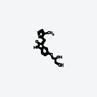 Cc1ccsc1C=C1C(=O)Nc2ccc(OCC(O)CO)cc21